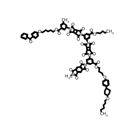 CCCCCCOC1CCC(c2ccc(OCCCCOC(=O)c3cc(N4C(=O)C5C6C(=O)N(c7cc(C(=O)OCCCCC)cc(N8C(=O)C9C%10C(=O)N(c%11cc(C)cc(C(=O)OCCCCCOc%12ccc(C(=O)c%13ccccc%13)cc%12)c%11)C(=O)C%10C9C8=O)c7)C(=O)C6C5C4=O)cc(-n4c(=O)c5cc6c(=O)n(C)c(=O)c6cc5c4=O)c3)cc2)CC1